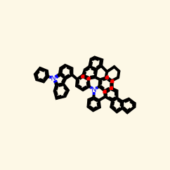 c1ccc(-n2c3ccccc3c3c(-c4ccc(N(c5ccccc5-c5cccc6c5ccc5ccccc56)c5ccccc5-c5cccc6cccc(C7CCCCC7)c56)cc4)cccc32)cc1